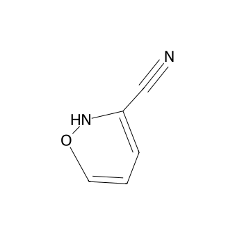 N#CC1=CC=CON1